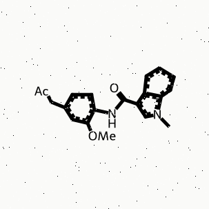 COc1cc(CC(C)=O)ccc1NC(=O)c1cn(C)c2ccccc12